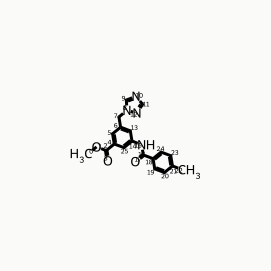 COC(=O)c1cc(Cn2cncn2)cc(NC(=O)c2ccc(C)cc2)c1